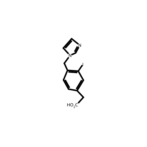 O=C(O)Cc1ccc(Cn2ccnc2)c(I)c1